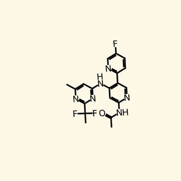 CC(=O)Nc1cc(Nc2cc(C)nc(C(C)(F)F)n2)c(-c2ccc(F)cn2)cn1